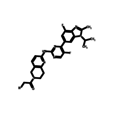 Cc1nc2c(F)cc(-c3nc(Nc4ccc5c(n4)CCN(C(=O)CBr)C5)ncc3F)cc2n1C(C)C